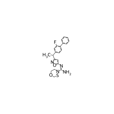 CC(c1ccc(-c2ccccc2)c(F)c1)c1cc(N=C(N)N2CCOCS2)on1